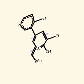 C=C(C)\C(=C/C(=C\C=C\CCCC)c1cnccc1CC)CC